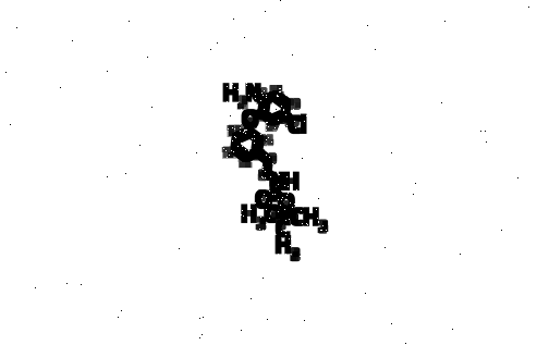 CC(C)(C)OC(=O)NCCc1cccc(Oc2cc(Cl)ccc2N)c1